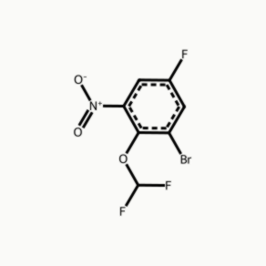 O=[N+]([O-])c1cc(F)cc(Br)c1OC(F)F